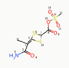 CC(C(N)=O)=C1SC(C(=O)OS(C)(=O)=O)S1